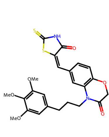 COc1cc(CCCN2C(=O)COc3ccc(C=C4SC(=S)NC4=O)cc32)cc(OC)c1OC